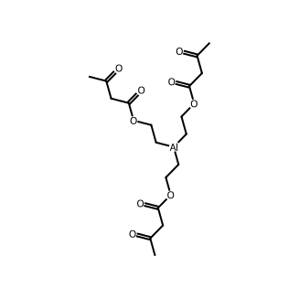 CC(=O)CC(=O)OC[CH2][Al]([CH2]COC(=O)CC(C)=O)[CH2]COC(=O)CC(C)=O